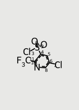 O=S(=O)(Cl)c1cc(Cl)cnc1C(F)(F)F